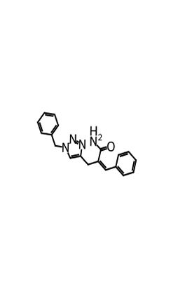 NC(=O)C(=Cc1ccccc1)Cc1cn(Cc2ccccc2)nn1